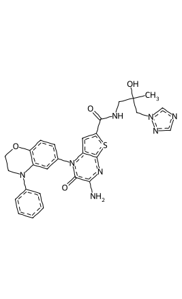 CC(O)(CNC(=O)c1cc2c(nc(N)c(=O)n2-c2ccc3c(c2)N(c2ccccc2)CCO3)s1)Cn1cncn1